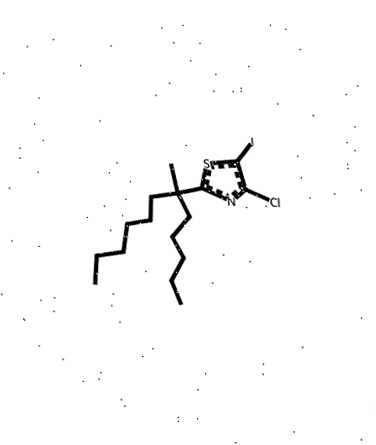 CCCCCCC(C)(CCCCC)c1nc(Cl)c(I)s1